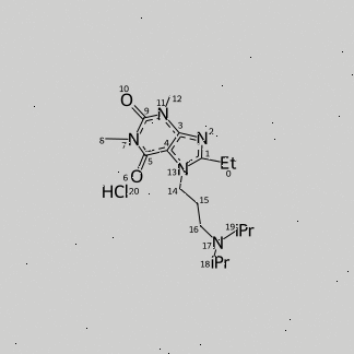 CCc1nc2c(c(=O)n(C)c(=O)n2C)n1CCCN(C(C)C)C(C)C.Cl